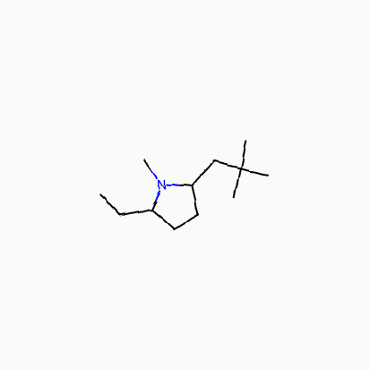 CCC1CCC(CC(C)(C)C)N1C